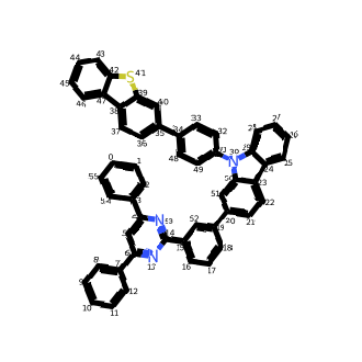 c1ccc(-c2cc(-c3ccccc3)nc(-c3cccc(-c4ccc5c6ccccc6n(-c6ccc(-c7ccc8c(c7)sc7ccccc78)cc6)c5c4)c3)n2)cc1